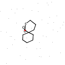 C1CCC2(CC1)CCCSC21OO1